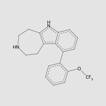 FC(F)(F)Oc1ccccc1-c1cccc2[nH]c3c(c12)CCNCC3